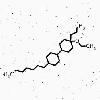 CCCCCCCC1CCC(C2CCC(CCC)(OCC)CC2)CC1